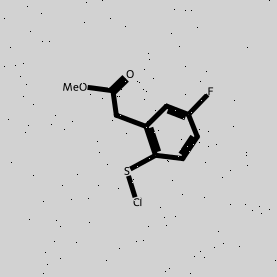 COC(=O)Cc1cc(F)ccc1SCl